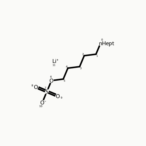 CCCCCCCCCCCCOS(=O)(=O)[O-].[Li+]